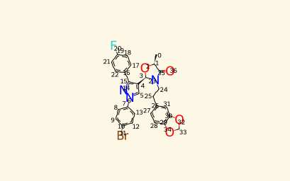 C[C@@H]1O[C@H](c2cn(-c3ccc(Br)cc3)nc2-c2ccc(F)cc2)N(CCc2ccc3c(c2)OCO3)C1=O